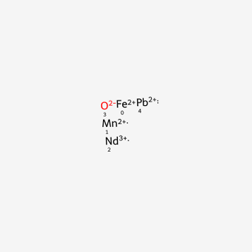 [Fe+2].[Mn+2].[Nd+3].[O-2].[Pb+2]